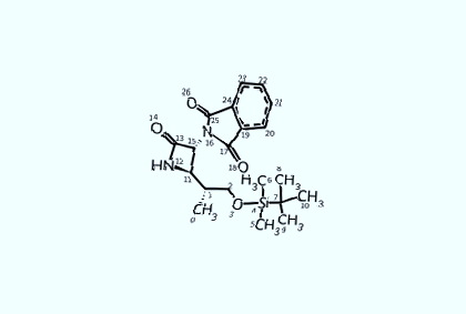 C[C@@H](CO[Si](C)(C)C(C)(C)C)[C@H]1NC(=O)[C@@H]1N1C(=O)c2ccccc2C1=O